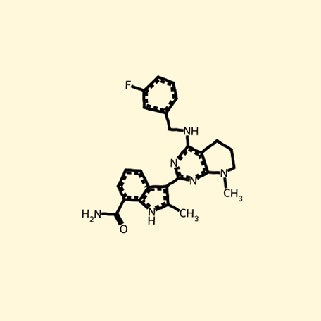 Cc1[nH]c2c(C(N)=O)cccc2c1-c1nc(NCc2cccc(F)c2)c2c(n1)N(C)CCC2